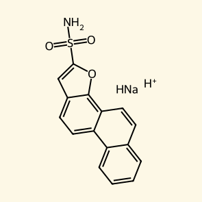 NS(=O)(=O)c1cc2ccc3c4ccccc4ccc3c2o1.[H+].[NaH]